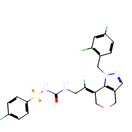 O=C(NCC(F)=C1COCc2cnn(Cc3ccc(Cl)cc3Cl)c21)NS(=O)(=O)c1ccc(Cl)cc1